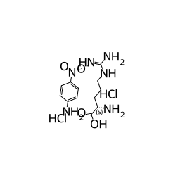 Cl.Cl.N=C(N)NCCC[C@H](N)C(=O)O.Nc1ccc([N+](=O)[O-])cc1